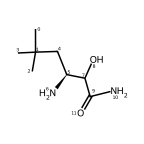 CC(C)(C)C[C@H](N)C(O)C(N)=O